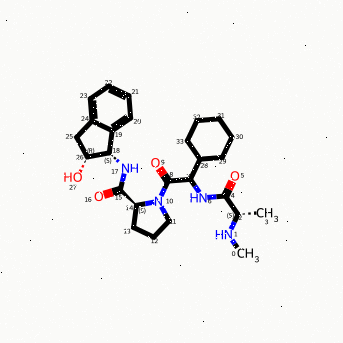 CN[C@@H](C)C(=O)NC(C(=O)N1CCC[C@H]1C(=O)N[C@H]1c2ccccc2C[C@H]1O)C1CCCCC1